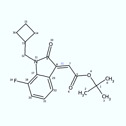 CC(C)(C)OC(=O)/C=C1/C(=O)N(CC2CCC2)c2c(F)cccc21